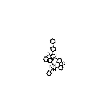 c1ccc(-c2ccc(-c3nc(-c4ccc5oc6cccc(-c7nc(-c8ccccc8)nc(-c8ccccc8)n7)c6c5c4)nc4c3oc3ccccc34)cc2)cc1